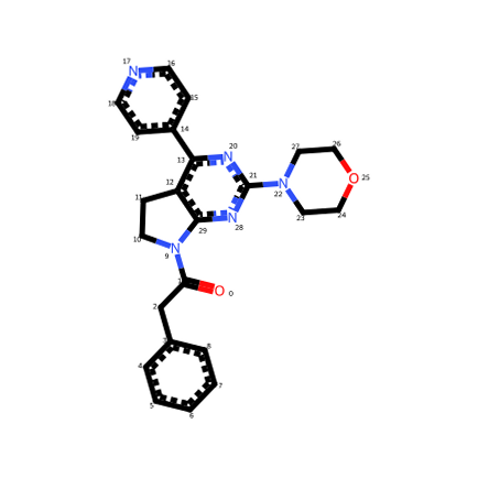 O=C(Cc1ccccc1)N1CCc2c(-c3ccncc3)nc(N3CCOCC3)nc21